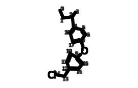 CCC(C)c1ccc(Oc2ccc(CCl)cc2)cc1